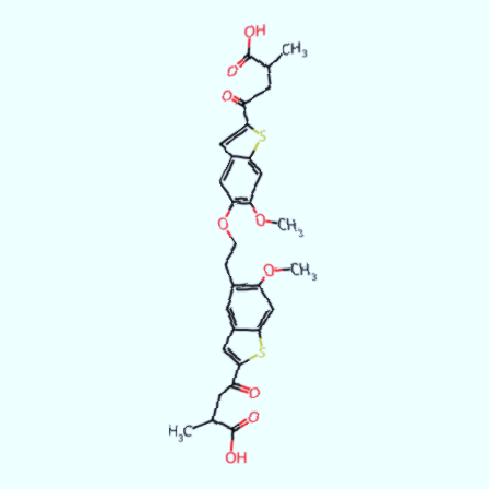 COc1cc2sc(C(=O)CC(C)C(=O)O)cc2cc1CCOc1cc2cc(C(=O)CC(C)C(=O)O)sc2cc1OC